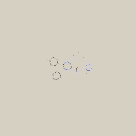 Cc1nnn(CC2CCCN(c3nc(-c4ccc(Cl)cc4)c(-c4ccc(Cl)cc4)nc3C(N)=O)C2)n1